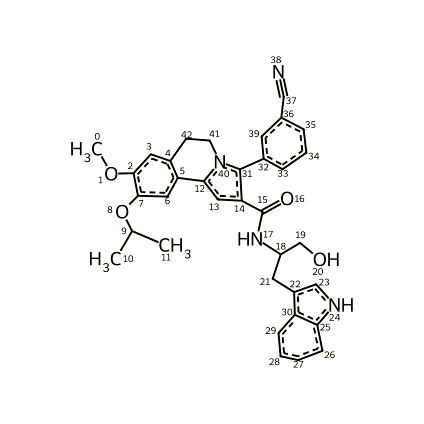 COc1cc2c(cc1OC(C)C)-c1cc(C(=O)NC(CO)Cc3c[nH]c4ccccc34)c(-c3cccc(C#N)c3)n1CC2